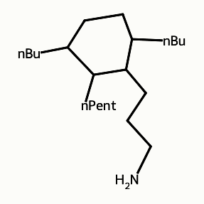 CCCCCC1C(CCCC)CCC(CCCC)C1CCCN